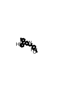 CC(=O)N[C@@H]1CC=C(c2cnc3ccc(C4=C(c5cccc(C)n5)NC=CC4)cc3c2)CC1